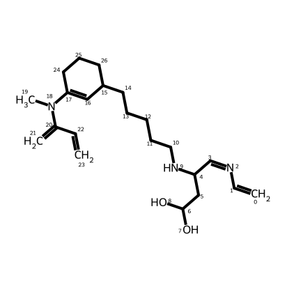 C=C/N=C\C(CC(O)O)NCCCCCC1C=C(N(C)C(=C)C=C)CCC1